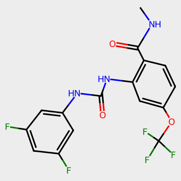 CNC(=O)c1ccc(OC(F)(F)F)cc1NC(=O)Nc1cc(F)cc(F)c1